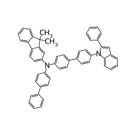 CC1(C)c2ccccc2-c2ccc(N(c3ccc(-c4ccccc4)cc3)c3ccc(-c4ccc(-n5c(-c6ccccc6)cc6ccccc65)cc4)cc3)cc21